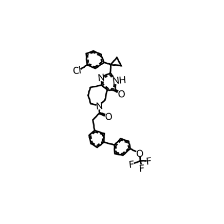 O=C(Cc1cccc(-c2ccc(OC(F)(F)F)cc2)c1)N1CCCc2nc(C3(c4cccc(Cl)c4)CC3)[nH]c(=O)c2C1